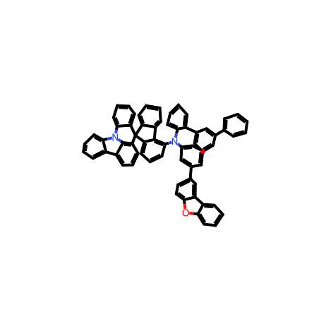 c1ccc(-c2cccc(-c3ccccc3N(c3cccc(-c4ccc5oc6ccccc6c5c4)c3)c3cccc4c3-c3ccccc3C43c4ccccc4-n4c5ccccc5c5cccc3c54)c2)cc1